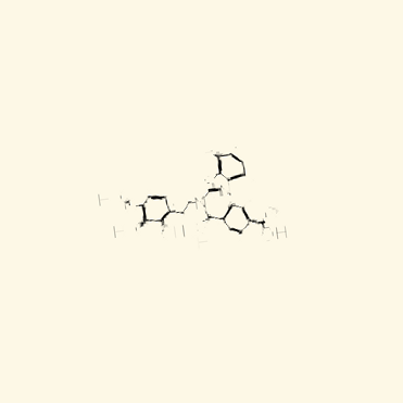 COc1ccc(CCN(c2nc3cccc(F)c3s2)C(C)c2ccc(C(=O)O)cc2)c(C)c1C